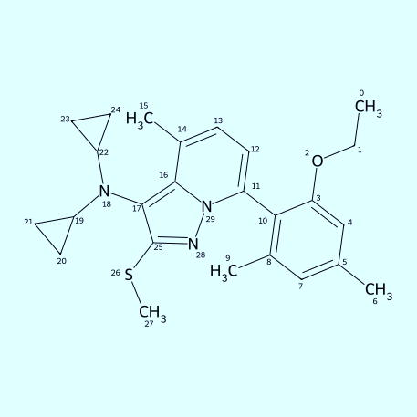 CCOc1cc(C)cc(C)c1-c1ccc(C)c2c(N(C3CC3)C3CC3)c(SC)nn12